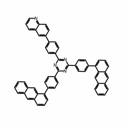 c1ccc2cc3c(-c4ccc(-c5nc(-c6ccc(-c7ccc8ncccc8c7)cc6)nc(-c6ccc(-c7cccc8cc9ccccc9cc78)cc6)n5)cc4)cccc3cc2c1